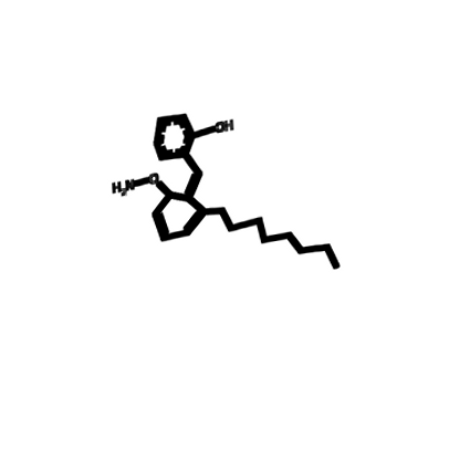 CCCCCCCCC1=CC=CC(ON)C1=Cc1ccccc1O